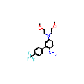 COCCN(CCOC)c1ccc(N)c(-c2ccc(C(F)(F)F)cc2)c1